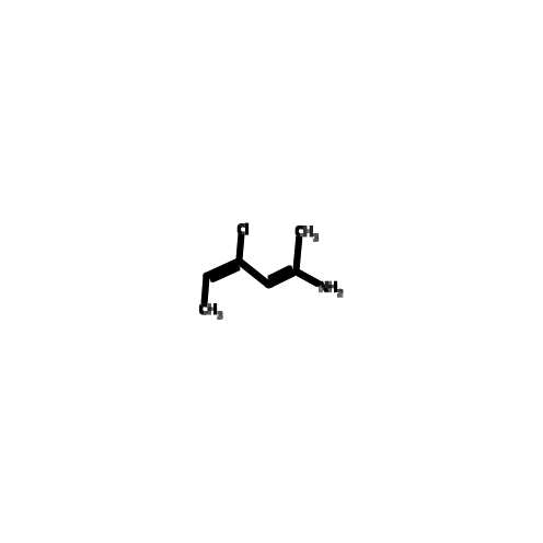 C/C=C(Cl)\C=C(/C)N